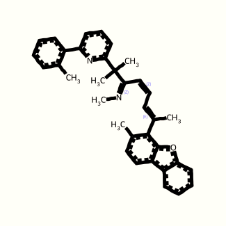 C/N=C(/C=C\C=C(/C)c1c(C)ccc2c1oc1ccccc12)C(C)(C)c1cccc(-c2ccccc2C)n1